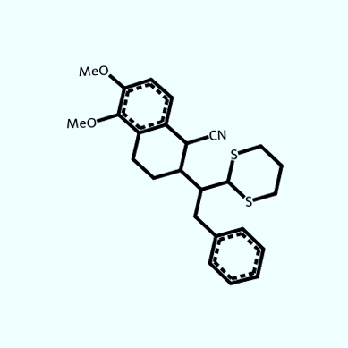 COc1ccc2c(c1OC)CCC(C(Cc1ccccc1)C1SCCCS1)C2C#N